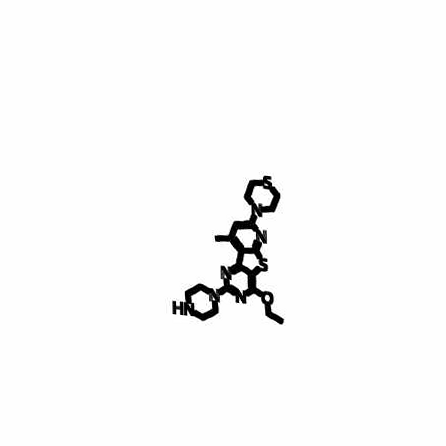 CCOc1nc(N2CCNCC2)nc2c1sc1nc(N3CCSCC3)cc(C)c12